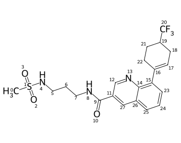 CS(=O)(=O)NCCCNC(=O)c1cnc2c(C3=CCC(C(F)(F)F)CC3)cccc2c1